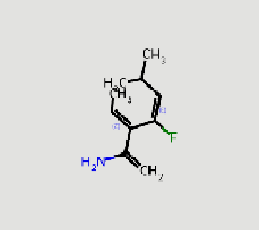 C=C(N)C(=C/C)/C(F)=C\C(C)C